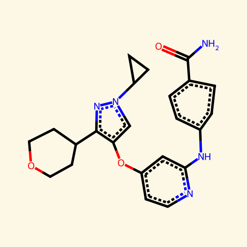 NC(=O)c1ccc(Nc2cc(Oc3cn(C4CC4)nc3C3CCOCC3)ccn2)cc1